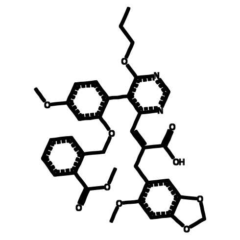 CCCOc1ncnc(C=C(Cc2cc3c(cc2OC)OCO3)C(=O)O)c1-c1ccc(OC)cc1OCc1ccccc1C(=O)OC